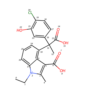 CCn1c(C)c(C(=O)O)c2c(C(C)(C(=O)O)c3ccc(Cl)c(O)c3)cccc21